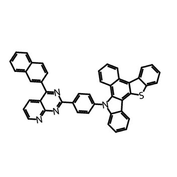 c1ccc2cc(-c3nc(-c4ccc(-n5c6ccccc6c6c7sc8ccccc8c7c7ccccc7c65)cc4)nc4ncccc34)ccc2c1